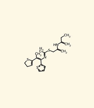 C=C(CC)NC(=C)CS/C(C)=N/C(=C(\C)C1=CCCS1)c1cccs1